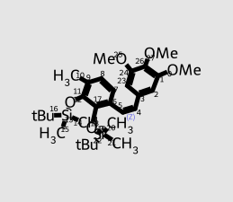 COc1cc(/C=C\c2ccc(C)c(O[Si](C)(C)C(C)(C)C)c2O[Si](C)(C)C(C)(C)C)cc(OC)c1OC